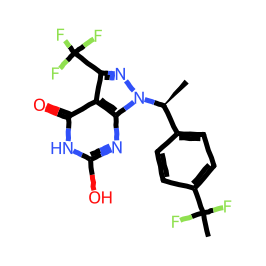 C[C@@H](c1ccc(C(C)(F)F)cc1)n1nc(C(F)(F)F)c2c(=O)[nH]c(O)nc21